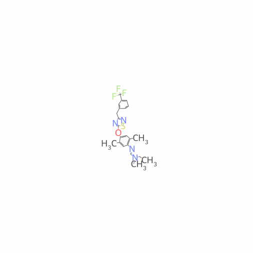 CCN(C)C=Nc1cc(C)c(Oc2nc(Cc3cccc(C(F)(F)F)c3)ns2)cc1C